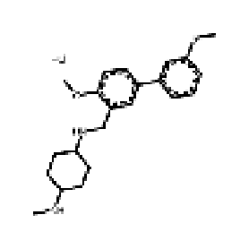 CNC1CCC(NCc2cc(-c3cccc(SC)c3)ccc2OC)CC1.Cl